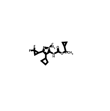 C[C@@H](OC(=O)Nc1c(C2CCC2)c(C2CC2(F)F)nn1C)C1CC1